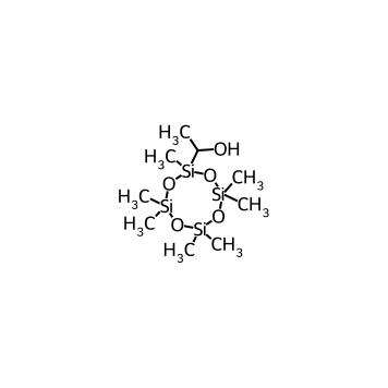 CC(O)[Si]1(C)O[Si](C)(C)O[Si](C)(C)O[Si](C)(C)O1